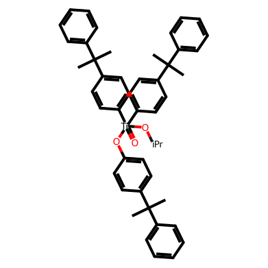 CC(C)[O][Ti](=[O])([O]c1ccc(C(C)(C)c2ccccc2)cc1)([c]1ccc(C(C)(C)c2ccccc2)cc1)[c]1ccc(C(C)(C)c2ccccc2)cc1